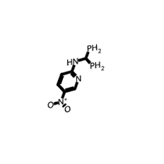 O=[N+]([O-])c1ccc(NC(P)P)nc1